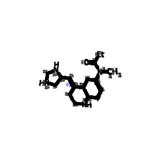 CCC(=O)N(C)C1=CCC2NCC/C(=C\C3CNCN3)C2C1